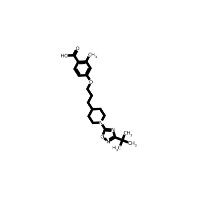 Cc1cc(OCCCC2CCN(c3nc(C(C)(C)C)no3)CC2)ccc1C(=O)O